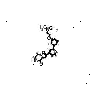 CN(C)CCOc1cccc(-c2cc(-c3cc4n(n3)CCNC4=O)ccn2)c1